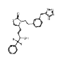 O=C1SCC(/C=C/C(O)C(F)(F)c2ccccc2)N1CCc1cccc(Cc2nnn[nH]2)c1